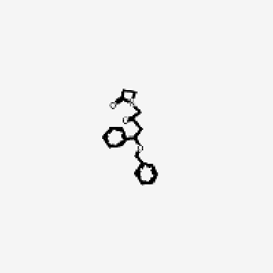 O=C(CC(OCc1ccccc1)c1ccccc1)CN1CCC1=O